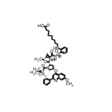 C=C[C@@H]1C[C@]1(NC(=O)[C@@H]1C[C@@H](Oc2cc(-c3ccccc3)nc3cc(OC)ccc23)CN1C(=O)OC(C)(C)C)C(=O)NS(=O)(=O)c1ccccc1NCCCCCCCCC(=O)O